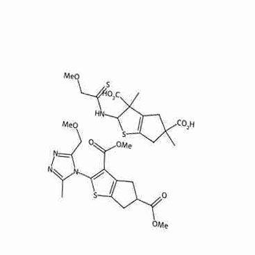 COCC(=S)NC1SC2=C(CC(C)(C(=O)O)C2)C1(C)C(=O)O.COCc1nnc(C)n1-c1sc2c(c1C(=O)OC)CC(C(=O)OC)C2